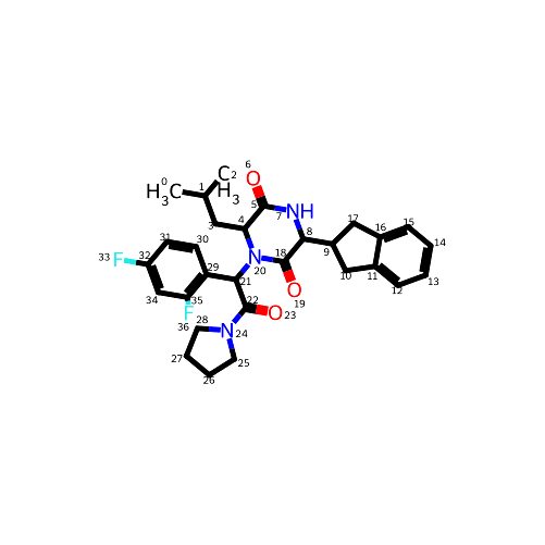 CC(C)CC1C(=O)NC(C2Cc3ccccc3C2)C(=O)N1C(C(=O)N1CCCC1)c1ccc(F)cc1F